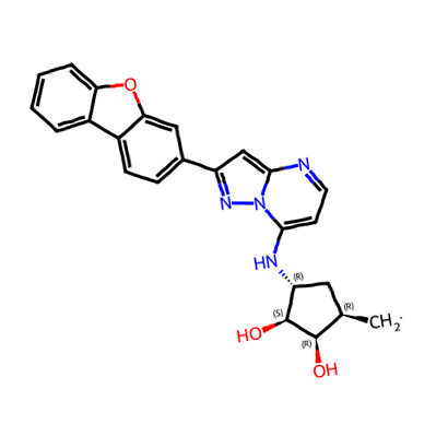 [CH2][C@@H]1C[C@@H](Nc2ccnc3cc(-c4ccc5c(c4)oc4ccccc45)nn23)[C@H](O)[C@@H]1O